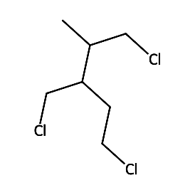 CC(CCl)C(CCl)CCCl